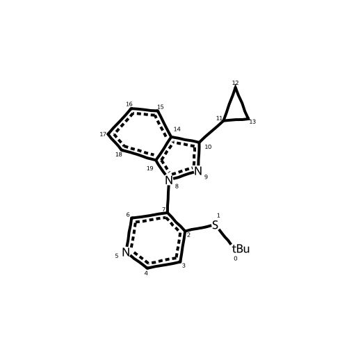 CC(C)(C)Sc1ccncc1-n1nc(C2CC2)c2ccccc21